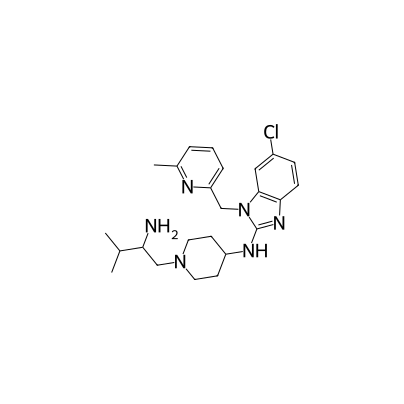 Cc1cccc(Cn2c(NC3CCN(CC(N)C(C)C)CC3)nc3ccc(Cl)cc32)n1